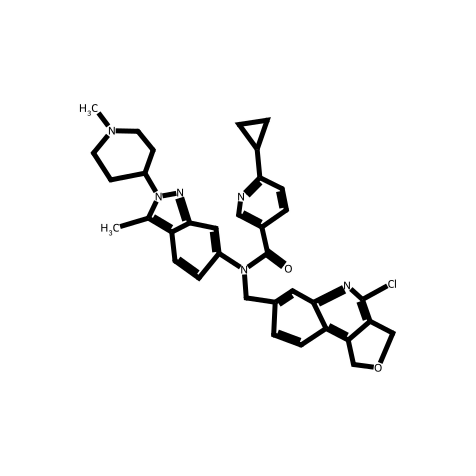 Cc1c2ccc(N(Cc3ccc4c5c(c(Cl)nc4c3)COC5)C(=O)c3ccc(C4CC4)nc3)cc2nn1C1CCN(C)CC1